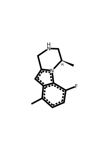 Cc1ccc(F)c2c1cc1n2[C@H](C)CNC1